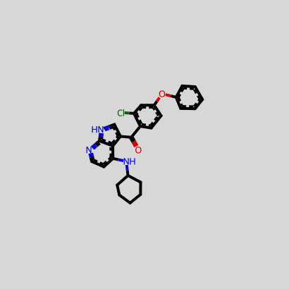 O=C(c1ccc(Oc2ccccc2)cc1Cl)c1c[nH]c2nccc(NC3CCCCC3)c12